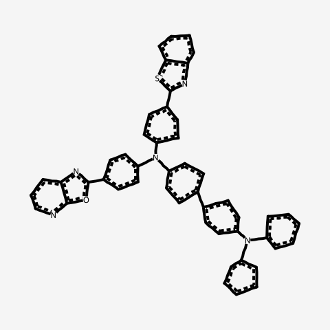 c1ccc(N(c2ccccc2)c2ccc(-c3ccc(N(c4ccc(-c5nc6cccnc6o5)cc4)c4ccc(-c5nc6ccccc6s5)cc4)cc3)cc2)cc1